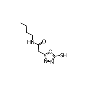 CCCCNC(=O)Cc1nnc(S)o1